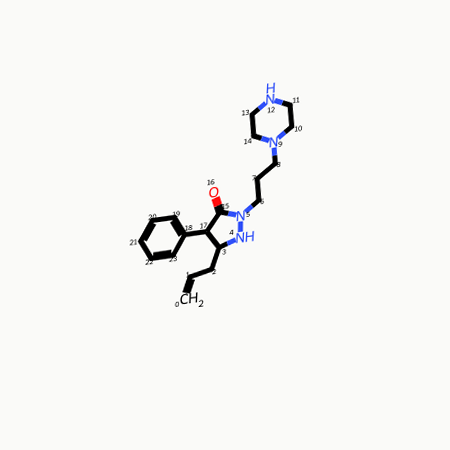 C=CCC1NN(CCCN2CCNCC2)C(=O)C1c1ccccc1